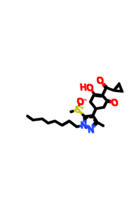 CCCCCCCCn1nc(C)c(C2CC(=O)C(C(=O)C3CC3)=C(O)C2)c1[S+](C)[O-]